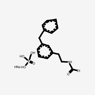 CCC(=O)NCCc1cccc(Cc2ccccc2)c1.O=P(O)(O)O.[NaH]